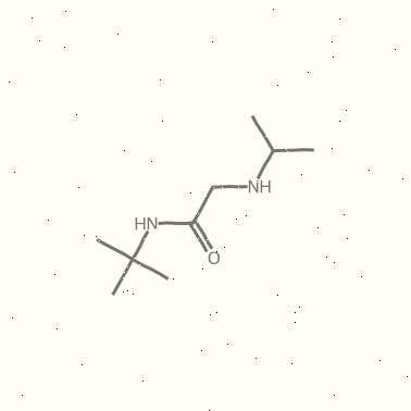 CC(C)NCC(=O)NC(C)(C)C